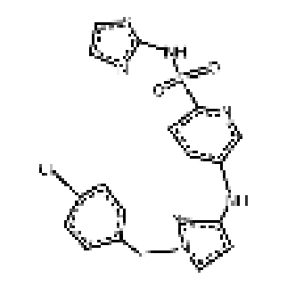 O=S(=O)(Nc1nccs1)c1ccc(Nc2ccn(Cc3ccc(Cl)cc3)n2)cn1